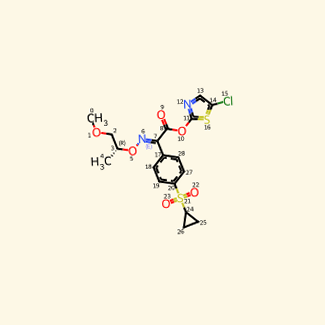 COC[C@@H](C)O/N=C(/C(=O)Oc1ncc(Cl)s1)c1ccc(S(=O)(=O)C2CC2)cc1